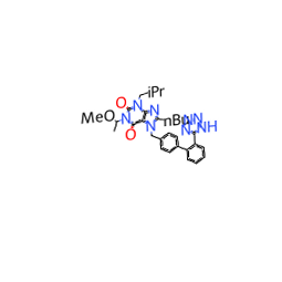 CCCCc1nc2c(c(=O)n(C(C)OC)c(=O)n2CC(C)C)n1Cc1ccc(-c2ccccc2-c2nnn[nH]2)cc1